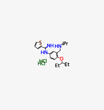 CCC(CC)Oc1ccc(NC(=N)c2cccs2)cc1CNC(C)C.Cl.Cl